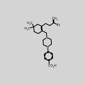 C=C(CC)CCC1=C(CN2CCN(c3ccc(C(=O)O)cc3)CC2)CCC(C)(C)C1